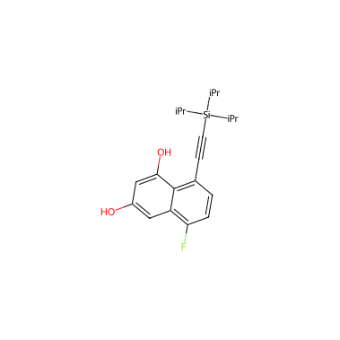 CC(C)[Si](C#Cc1ccc(F)c2cc(O)cc(O)c12)(C(C)C)C(C)C